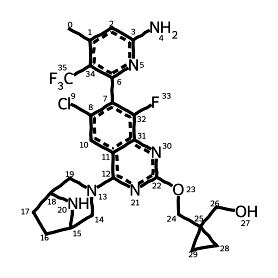 Cc1cc(N)nc(-c2c(Cl)cc3c(N4CC5CCC(C4)N5)nc(OCC4(CO)CC4)nc3c2F)c1C(F)(F)F